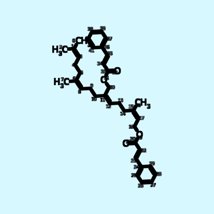 CC(C)=CCCC(C)=CCCC(=CCCC(C)=CCOC(=O)/C=C/c1ccccc1)COC(=O)/C=C/c1ccccc1